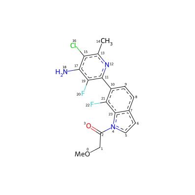 COCC(=O)n1ccc2ccc(-c3nc(C)c(Cl)c(N)c3F)c(F)c21